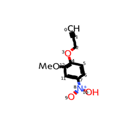 C#CCOc1ccc([N+](=O)O)cc1OC